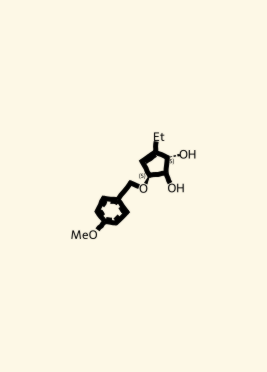 CCC1=C[C@H](OCc2ccc(OC)cc2)C(O)[C@H]1O